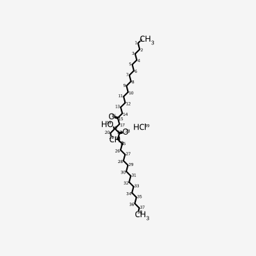 CCCCCCCCCCCCCCCC(=O)CC(O)(CC)C(=O)CCCCCCCCCCCCCCC.Cl